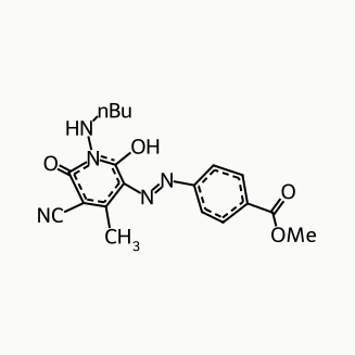 CCCCNn1c(O)c(/N=N/c2ccc(C(=O)OC)cc2)c(C)c(C#N)c1=O